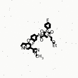 CCOCCn1cc(C(=O)Nc2ccc(Oc3cc(-c4cnn(C)c4)cn4nccc34)c(F)c2)c(=O)n(-c2ccc(F)cc2)c1=O